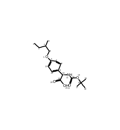 CCC(C)COc1ccc([C@@H](NC(=O)OC(C)(C)C)C(=O)O)cc1